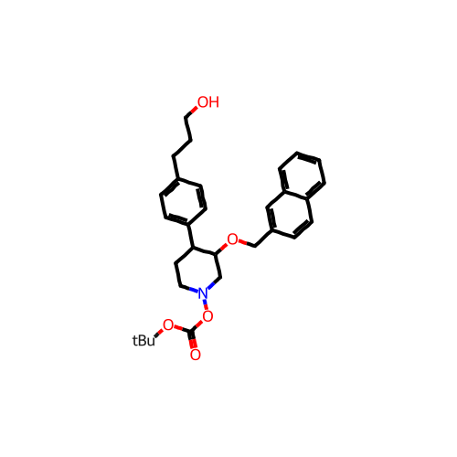 CC(C)(C)OC(=O)ON1CCC(c2ccc(CCCO)cc2)C(OCc2ccc3ccccc3c2)C1